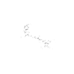 C=C(OS(=O)(=O)c1ccc(C)cc1)C(=O)OCCCOC(=O)NCCC[Si](OCC)(OCC)OCC